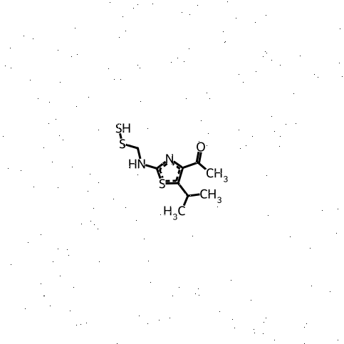 CC(=O)c1nc(NCSS)sc1C(C)C